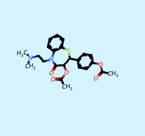 CC(=O)Oc1ccc(C2Sc3ccccc3N(CCN(C)C)C(=O)C2OC(C)=O)cc1